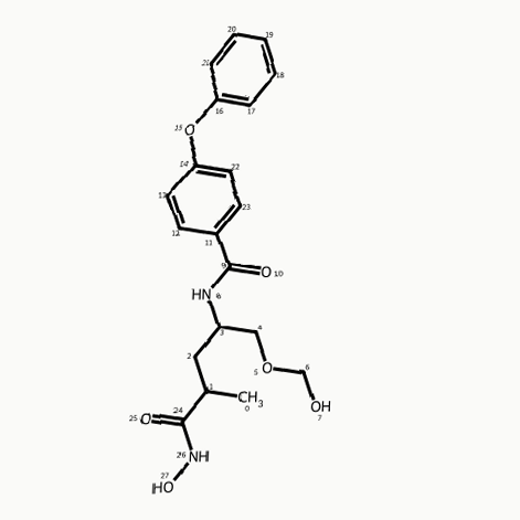 CC(CC(COCO)NC(=O)c1ccc(Oc2ccccc2)cc1)C(=O)NO